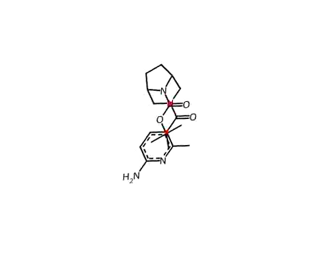 Cc1nc(N)ccc1C(=O)N1CC2CCC(C1)N2C(=O)OC(C)(C)C